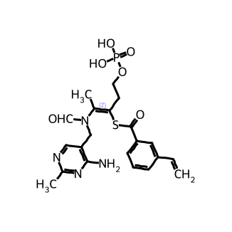 C=Cc1cccc(C(=O)S/C(CCOP(=O)(O)O)=C(/C)N(C=O)Cc2cnc(C)nc2N)c1